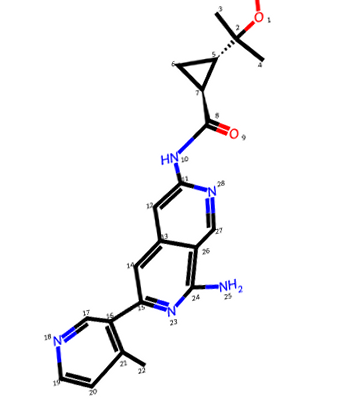 COC(C)(C)[C@H]1C[C@@H]1C(=O)Nc1cc2cc(-c3cnccc3C)nc(N)c2cn1